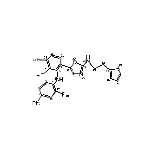 CCc1ccc(Nc2c(-c3nnc(NCCc4cccs4)o3)ccc(F)c2F)c(F)c1